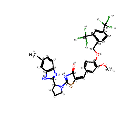 COc1cc(/C=C2/SC(N3CCCC3c3nc4ccc(C)cc4[nH]3)=NC2=O)ccc1OCc1ccc(C(F)(F)F)cc1C(F)(F)F